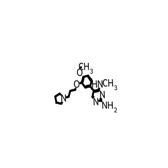 CNc1nc(N)ncc1-c1ccc(OC)c(OCCCN2CCCC2)c1